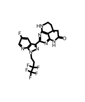 CC12CCNc3nc(-c4nn(CCC(F)(F)C(F)(F)F)c5ncc(F)cc45)nc(c31)NC(=O)C2